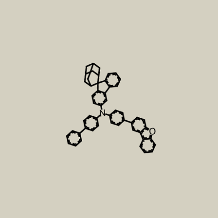 c1ccc(-c2ccc(N(c3ccc(-c4ccc5oc6ccccc6c5c4)cc3)c3ccc4c(c3)-c3ccccc3C43C4CC5CC(C4)CC3C5)cc2)cc1